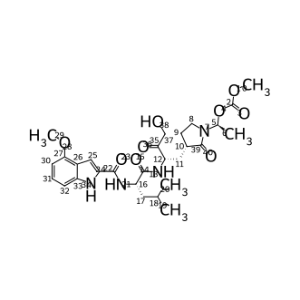 COC(=O)O[C@@H](C)N1CC[C@@H](C[C@H](NC(=O)[C@H](CC(C)C)NC(=O)c2cc3c(OC)cccc3[nH]2)C(=O)CO)C1=O